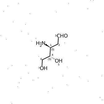 N[C@@H](CC=O)[C@H](O)CO